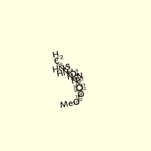 C=CCNC(=S)Nc1ccc2ncc(-c3ccc(OCCOC)cc3)nc2n1